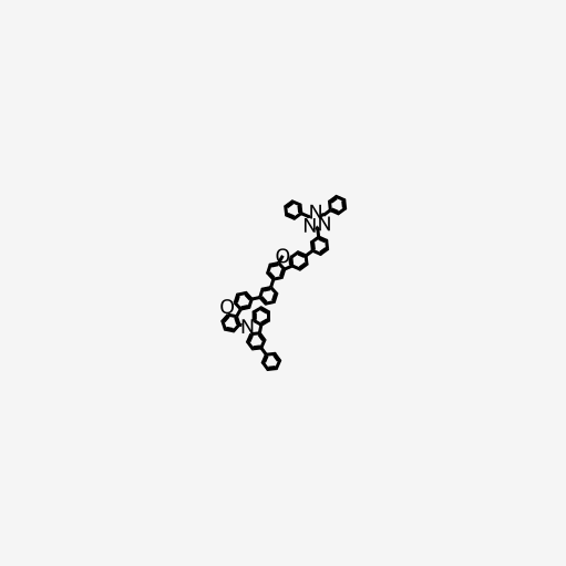 c1ccc(-c2ccc3c(c2)c2ccccc2n3-c2cccc3oc4ccc(-c5cccc(-c6ccc7oc8cc(-c9cccc(-c%10nc(-c%11ccccc%11)nc(-c%11ccccc%11)n%10)c9)ccc8c7c6)c5)cc4c23)cc1